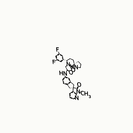 CN1C(=O)[C@@]2(Cc3ccc(NC(=O)CN4C(=O)[C@@]5(CCCN5)CC[C@H]4c4cc(F)cc(F)c4)cc3C2)c2cccnc21